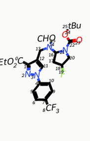 CCOC(=O)c1nn(-c2ccc(C(F)(F)F)cc2)cc1CN(C=O)C1CC(F)CN1C(=O)OC(C)(C)C